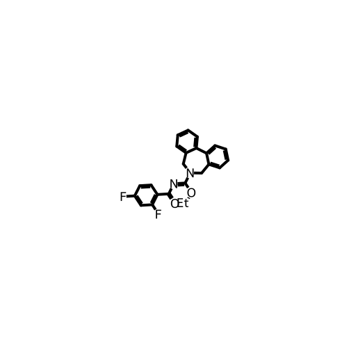 CCOC(=NC(=O)c1ccc(F)cc1F)N1Cc2ccccc2-c2ccccc2C1